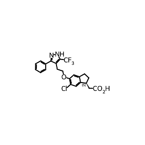 O=C(O)C[C@@H]1CCc2cc(OCCc3c(-c4ccccc4)n[nH]c3C(F)(F)F)c(Cl)cc21